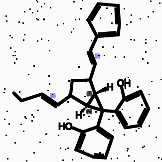 CC/C=C/C1CC(/C=C/c2ccccc2)[C@H]2[C@H]1C2(c1ccccc1O)c1ccccc1O